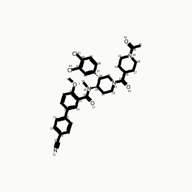 COc1ccc(-c2ccc(C#N)cc2)cc1C(=O)N(C)[C@@H]1CCN(C(=O)C2CCN(C(C)=O)CC2)C[C@H]1c1ccc(Cl)c(Cl)c1